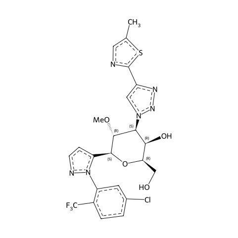 CO[C@@H]1[C@@H](n2cc(-c3ncc(C)s3)nn2)[C@@H](O)[C@@H](CO)O[C@H]1c1ccnn1-c1cc(Cl)ccc1C(F)(F)F